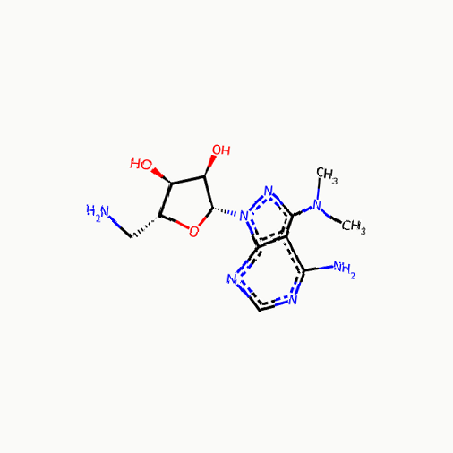 CN(C)c1nn([C@@H]2O[C@H](CN)[C@@H](O)[C@H]2O)c2ncnc(N)c12